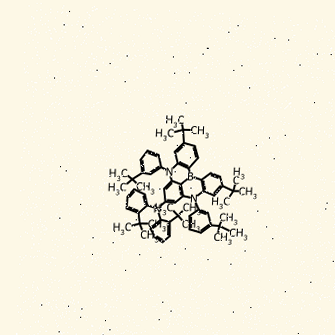 CC(C)(C)c1cccc(N2c3cc(C(C)(C)C)ccc3B3c4ccc(C(C)(C)C)cc4N(c4cccc(C(C)(C)C)c4)c4cc(N(c5ccccc5C(C)(C)C)c5ccccc5C(C)(C)C)cc2c43)c1